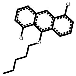 CCCCCOc1c2cccc(Cl)c2cc2cccc(Cl)c12